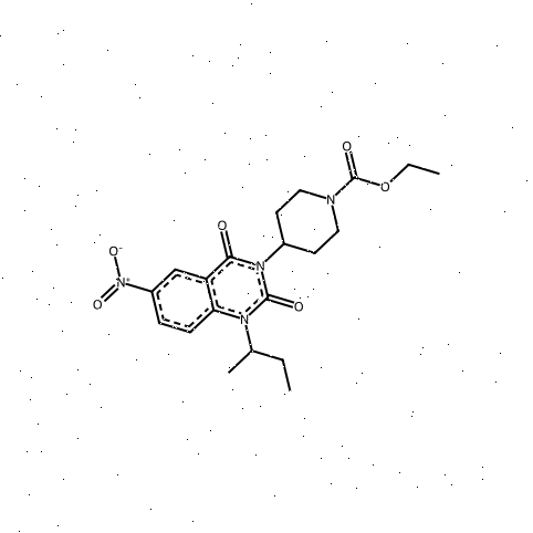 CCOC(=O)N1CCC(n2c(=O)c3cc([N+](=O)[O-])ccc3n(C(C)CC)c2=O)CC1